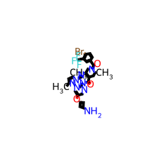 Cc1cc(C)n(-c2nc3c(c(=O)n2-c2ncc(O[C@H]4C[C@@H](N)C4)cn2)CC(C)N(C(=O)c2ccc(Br)c(C(F)(F)F)c2)C3)n1